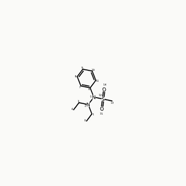 CCN(CC)N(c1ccccc1)S(C)(=O)=O